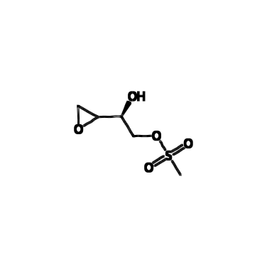 CS(=O)(=O)OC[C@H](O)C1CO1